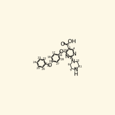 O=C(O)c1cnc(N2CCNCC2)nc1Oc1ccc(Oc2ccccc2)cc1